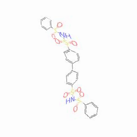 O=S(=O)(NS(=O)(=O)c1ccc(-c2ccc(S(=O)(=O)NS(=O)(=O)c3ccccc3)cc2)cc1)c1ccccc1